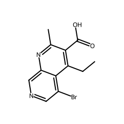 CCc1c(C(=O)O)c(C)nc2cncc(Br)c12